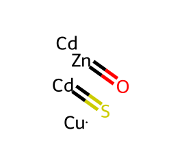 [Cd].[Cu].[O]=[Zn].[S]=[Cd]